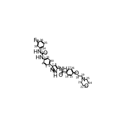 O=C(Nc1ccc(-c2cc(NC(=O)c3ccc(OCCN4CCOCC4)cc3)[nH]n2)cc1)Nc1cccc(F)c1